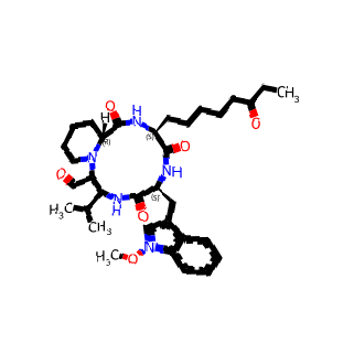 CCC(=O)CCCCC[C@@H]1NC(=O)[C@H]2CCCCN2C(C=O)C(C(C)C)NC(=O)[C@H](Cc2cn(OC)c3ccccc23)NC1=O